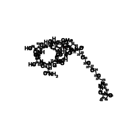 CC[C@H](C)[C@@H]1NC(=O)CCNC(=O)[C@@H]2Cc3c([nH]c4c(CSC5CCN(C(=O)CCOCCOCCOCCOCCn6cc(CN7C(=O)CC(C)C7=O)nn6)CC5)c(OC)ccc34)[S+]([O-])C[C@H](NC(=O)CNC1=O)C(=O)N[C@@H](CCC(N)=O)C(=O)N1C[C@H](O)C[C@H]1C(=O)N[C@@H]([C@@H](C)[C@@H](O)CO)C(=O)N2